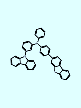 c1ccc(N(c2ccc(-c3ccc4c(c3)sc3ccccc34)cc2)c2cccc(-n3c4ccccc4c4ccccc43)c2)cc1